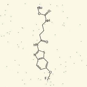 CC(C)(C)OC(=O)NCCCC(=O)Nc1nc2ccc(OC(F)(F)F)cc2s1